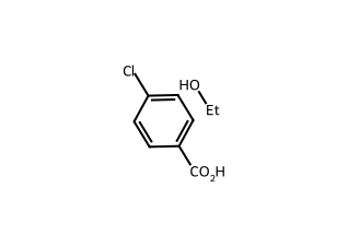 CCO.O=C(O)c1ccc(Cl)cc1